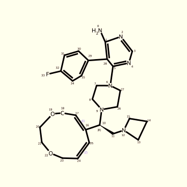 Nc1ncnc(N2CCN([C@@H](CN3CCC3)C3=C/COCCOC/C=C\3)CC2)c1-c1ccc(F)cc1